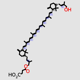 C=C1CC[C@H](C/C=C(\C)CO)C(C)(C)[C@@H]1/C=C/C(C)=C/C=C/C(C)=C/C=C/C=C(C)/C=C/C=C(C)/C=C/[C@@H]1C(=C)CC[C@H](C/C=C(\C)COC(=O)CCC(=O)O)C1(C)C